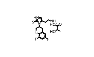 CC(O)C(=O)O.NCCc1c[nH]c(=S)n1C1COc2c(F)cc(F)cc2C1